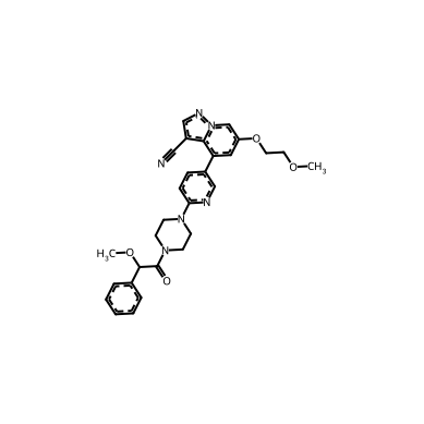 COCCOc1cc(-c2ccc(N3CCN(C(=O)C(OC)c4ccccc4)CC3)nc2)c2c(C#N)cnn2c1